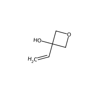 C=CC1(O)COC1